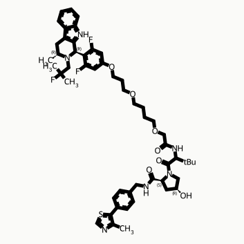 Cc1ncsc1-c1ccc(CNC(=O)[C@@H]2C[C@@H](O)CN2C(=O)C(NC(=O)COCCCCOCCCOc2cc(F)c([C@@H]3c4[nH]c5ccccc5c4C[C@@H](C)N3CC(C)(C)F)c(F)c2)C(C)(C)C)cc1